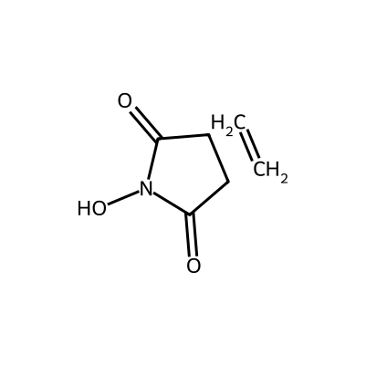 C=C.O=C1CCC(=O)N1O